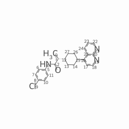 CC(C(=O)Nc1ccc(Cl)cc1)[C@H]1CC[C@H](c2ccnc3ncccc32)CC1